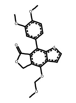 COCOc1c2c(c(-c3ccc(OC)c(OC)c3)c3sccc13)C(=O)OC2